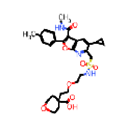 CNC(=O)c1c(-c2ccc(C)cc2)oc2nc(CS(=O)(=O)NCCOCCC3(C(=O)O)CCOCC3)c(C3CC3)cc12